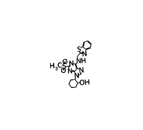 CS(=O)(=O)c1nc(NCc2nc3ccccc3s2)c2ncn(C3CCCC[C@@H]3O)c2n1